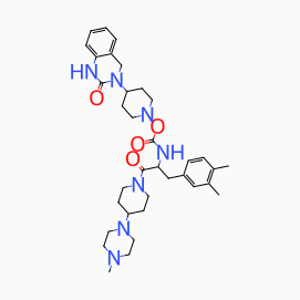 Cc1ccc(CC(NC(=O)ON2CCC(N3Cc4ccccc4NC3=O)CC2)C(=O)N2CCC(N3CCN(C)CC3)CC2)cc1C